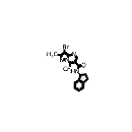 Cc1nn2c(C(F)(F)F)c(C(=O)N[C@H]3CCc4ccccc43)cnc2c1Br